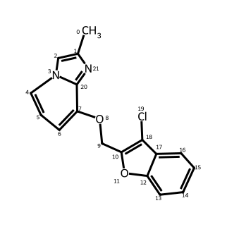 Cc1cn2cccc(OCc3oc4ccccc4c3Cl)c2n1